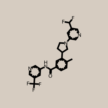 Cc1ccc(C(=O)Nc2cncc(C(F)(F)F)c2)cc1C1CCN(c2cncc(C(F)F)c2)C1